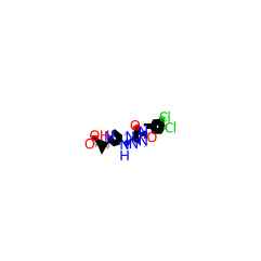 Cn1c(Nc2ccnc([C@H]3C[C@H]3C(=O)O)c2)nc2c1c(=O)n(Cc1ccc(Cl)c(Cl)c1)c(=O)n2C